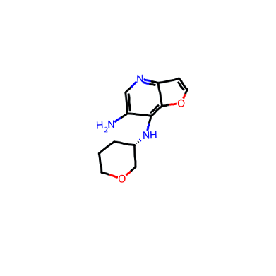 Nc1cnc2ccoc2c1N[C@H]1CCCOC1